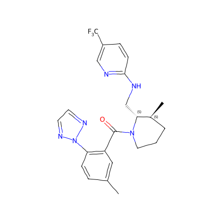 Cc1ccc(-n2nccn2)c(C(=O)N2CCC[C@H](C)[C@H]2CNc2ccc(C(F)(F)F)cn2)c1